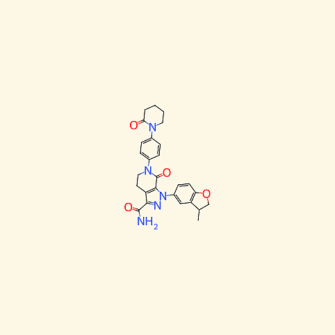 CC1COc2ccc(-n3nc(C(N)=O)c4c3C(=O)N(c3ccc(N5CCCCC5=O)cc3)CC4)cc21